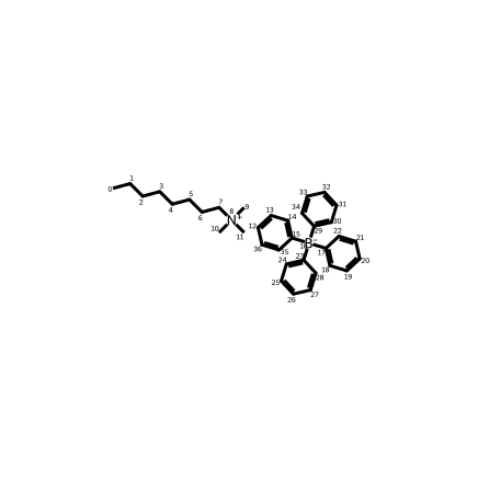 CCCCCCCC[N+](C)(C)C.c1ccc([B-](c2ccccc2)(c2ccccc2)c2ccccc2)cc1